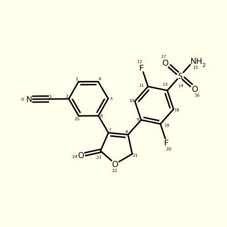 N#Cc1cccc(C2=C(c3cc(F)c(S(N)(=O)=O)cc3F)COC2=O)c1